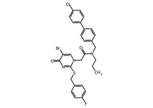 CCCN(Cc1ccc(-c2ccc(Cl)cc2)cc1)C(=O)Cn1cc(Br)c(=O)nc1SCc1ccc(F)cc1